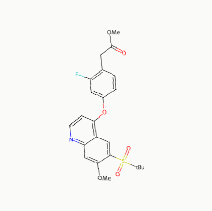 COC(=O)Cc1ccc(Oc2ccnc3cc(OC)c(S(=O)(=O)C(C)(C)C)cc23)cc1F